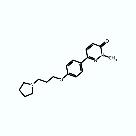 Cn1nc(-c2ccc(OCCCN3CCCC3)cc2)ccc1=O